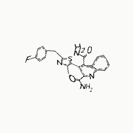 Cc1nc(Cc2ccc(F)cc2)sc1-c1c(C(N)=O)nc2ccccc2c1C(N)=O